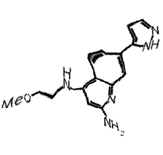 COCCNc1cc(N)nc2cc(-c3ccn[nH]3)ccc12